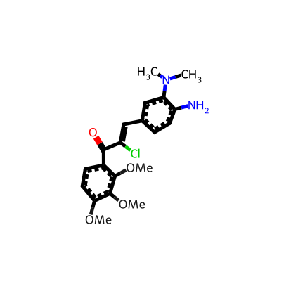 COc1ccc(C(=O)C(Cl)=Cc2ccc(N)c(N(C)C)c2)c(OC)c1OC